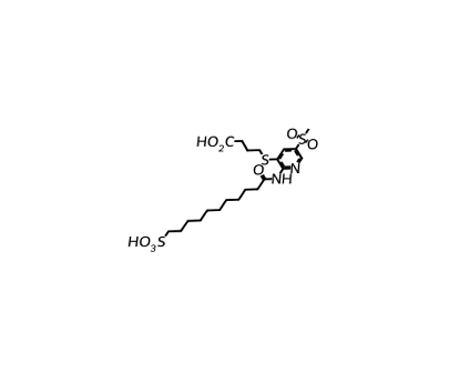 CS(=O)(=O)c1cnc(NC(=O)CCCCCCCCCCS(=O)(=O)O)c(SCCCC(=O)O)c1